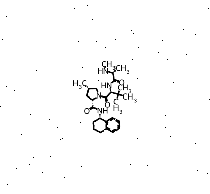 CN[C@@H](C)C(=O)N[C@H](C(=O)N1C[C@@H](C)C[C@H]1C(=O)N[C@@H]1CCCc2ccccc21)C(C)(C)C